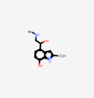 CCOC(=O)c1cc2c(C(O)CNC(C)(C)C)ccc(O)c2[nH]1